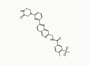 Cc1ccc(C(=O)NCc2cc3nc(-c4cccc(N5CCNC(=O)C5)n4)ccc3cn2)cc1S(C)(=O)=O